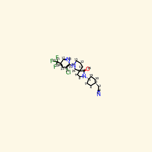 N#CC[C@H]1CC[C@H](N2CCC3(CCCN(c4ncc(C(F)(F)F)cc4Cl)C3)C2=O)CC1